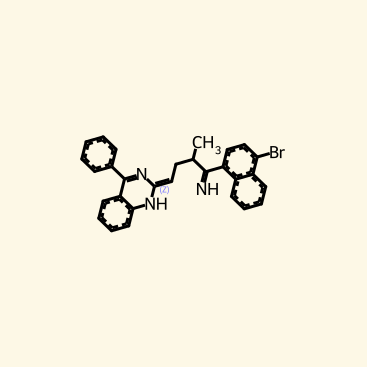 CC(C/C=C1\N=C(c2ccccc2)c2ccccc2N1)C(=N)c1ccc(Br)c2ccccc12